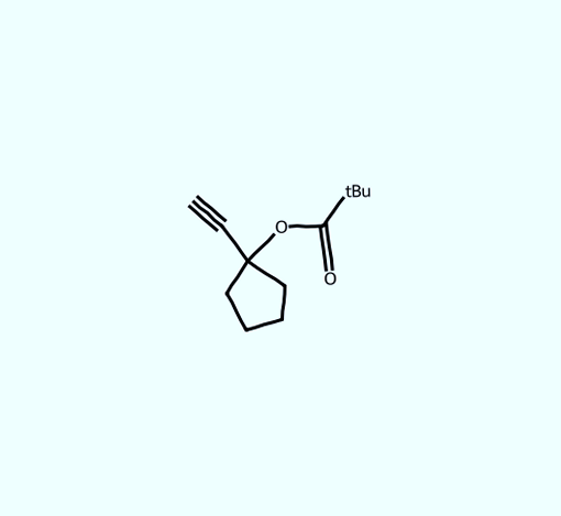 C#CC1(OC(=O)C(C)(C)C)CCCC1